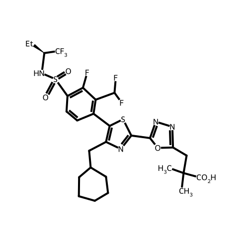 CC[C@H](NS(=O)(=O)c1ccc(-c2sc(-c3nnc(CC(C)(C)C(=O)O)o3)nc2CC2CCCCC2)c(C(F)F)c1F)C(F)(F)F